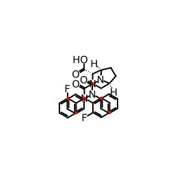 O=C(O)[C@@H]1[C@H]2CC[C@@H](CN1C(=O)N(c1ccccc1F)c1ccccc1F)N2C(=O)N(c1ccccc1)c1ccccc1